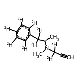 [2H]c1c([2H])c([2H])c(C([2H])([2H])[C@@H](C)N(C)C([2H])([2H])C#C)c([2H])c1[2H]